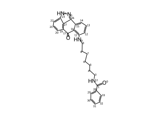 O=C(NCCCCCCCNc1cccc2c1C(=O)c1cccc3[nH]nc-2c13)c1ccccc1